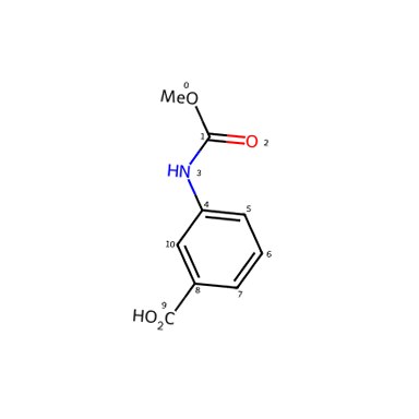 COC(=O)Nc1cccc(C(=O)O)c1